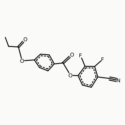 CCC(=O)Oc1ccc(C(=O)Oc2ccc(C#N)c(F)c2F)cc1